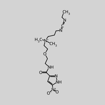 CCN=C=NCCC[N+](C)(C)CCOCCNC(=O)c1cc([N+](=O)[O-])[nH]n1